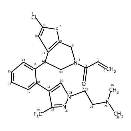 C=CC(=O)N1Cc2sc(Cl)cc2C(c2ccccc2-c2cn(CCN(C)C)nc2C(F)(F)F)C1